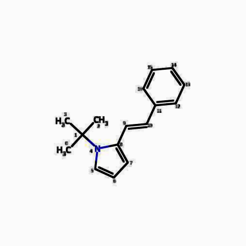 CC(C)(C)n1cccc1C=Cc1ccccc1